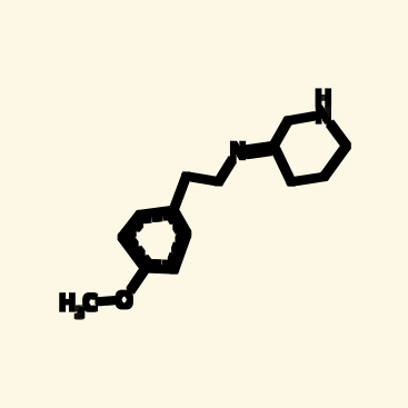 COc1ccc(CCN=C2CCCNC2)cc1